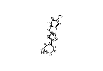 Fc1ccc(Cc2nsc(N3CCCNCC3)n2)cc1